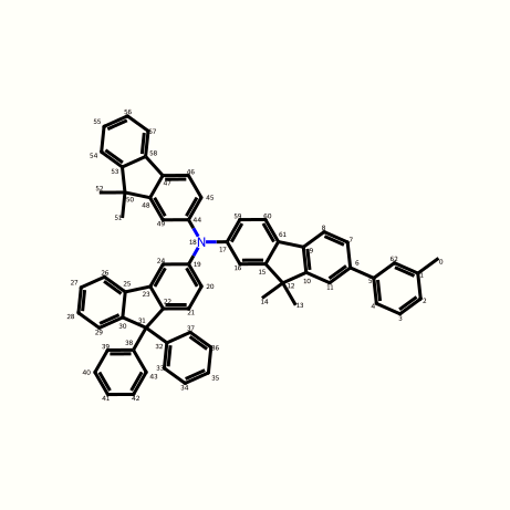 Cc1cccc(-c2ccc3c(c2)C(C)(C)c2cc(N(c4ccc5c(c4)-c4ccccc4C5(c4ccccc4)c4ccccc4)c4ccc5c(c4)C(C)(C)c4ccccc4-5)ccc2-3)c1